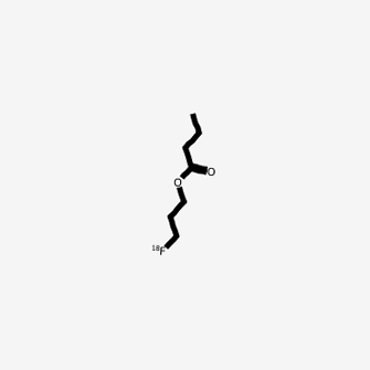 CCCC(=O)OCCC[18F]